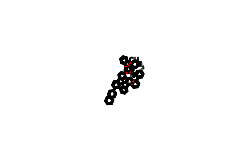 CC1(C)c2ccccc2-c2ccc(N(c3ccc4c(c3)C3(c5ccccc5-4)c4cc(C5CCC6(CCCCC6)CC5)ccc4-c4ccc(C5CCC6(CCCCC6)CC5)cc43)c3ccccc3-c3ccccc3)cc21